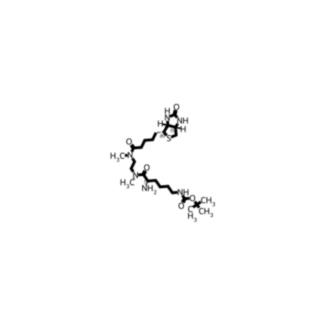 CN(CCN(C)C(=O)[C@@H](N)CCCCNC(=O)OC(C)(C)C)C(=O)CCCC[C@H]1SC[C@H]2NC(=O)N[C@H]21